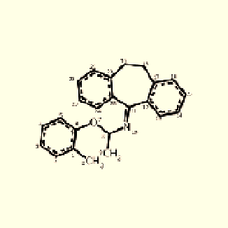 Cc1ccccc1OC(C)N=C1c2ccccc2CCc2ccccc21